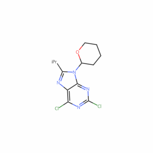 CC(C)c1nc2c(Cl)nc(Cl)nc2n1C1CCCCO1